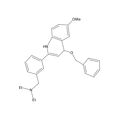 CCN(CC)Cc1cccc(C2=CC(OCc3ccccc3)c3cc(OC)ccc3N2)c1